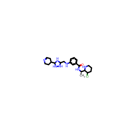 C[C@@H](NC(=O)c1cccc(NCC2NNC(C3CC=NCC3)N2)c1)C1NCCCC1Cl